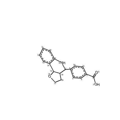 O=C(O)c1ccc(C2Nc3ccccc3C3OCCC23)cc1